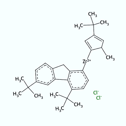 CC1C=C(C(C)(C)C)C=[C]1[Zr+2][c]1ccc(C(C)(C)C)c2c1Cc1ccc(C(C)(C)C)cc1-2.[Cl-].[Cl-]